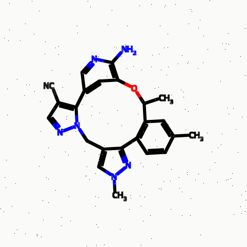 Cc1ccc2c(c1)C(C)Oc1cc(cnc1N)-c1c(C#N)cnn1Cc1cn(C)nc1-2